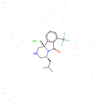 CC(C)C[C@H]1CNC[C@@H]2c3cccc(C(F)(F)F)c3C(=O)N12.Cl